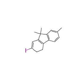 Cc1ccc2c(c1)C(C)(C)C1=C2CCC(I)=C1